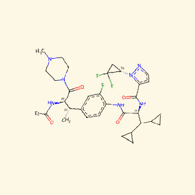 CCC(=O)N[C@@H](C(=O)N1CCN(C)CC1)[C@@H](C)c1ccc(NC(=O)[C@@H](NC(=O)c2ccnn2[C@H]2CC2(F)F)C(C2CC2)C2CC2)c(F)c1